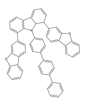 C1=CC(c2ccc3c(c2)oc2ccccc23)C2C(=C1)c1cccc(-c3ccc4c(c3)oc3ccccc34)c1N2c1ccc(-c2ccc(-c3ccccc3)cc2)cc1